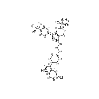 CS(=O)(=O)N1CCc2c(c(-c3ccc(C(F)(F)F)cc3)nn2CCCN2CCC(c3c[nH]c4ccc(Cl)cc34)CC2)C1